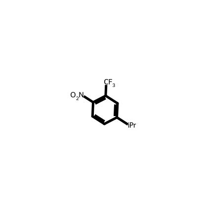 CC(C)c1ccc([N+](=O)[O-])c(C(F)(F)F)c1